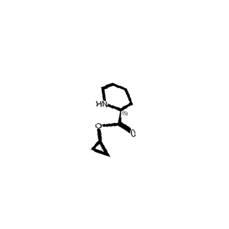 O=C(OC1CC1)[C@@H]1CCCCN1